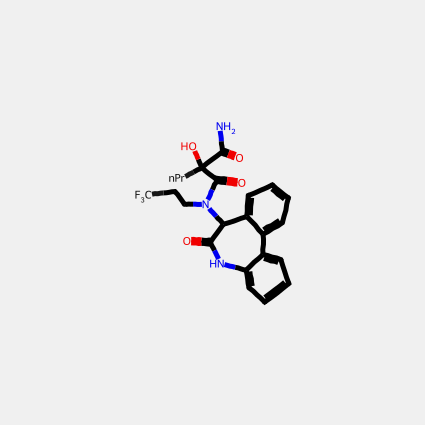 CCCC(O)(C(N)=O)C(=O)N(CCC(F)(F)F)C1C(=O)Nc2ccccc2-c2ccccc21